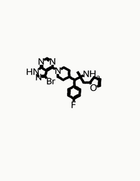 CC(N)(CC1CC=CO1)C(c1ccc(F)cc1)C1CCN(c2ncnc3[nH]nc(Br)c23)CC1